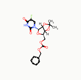 CC1(C)O[C@@H]2[C@H](O1)[C@@H](COC(=O)OCc1ccccc1)O[C@H]2n1cc(F)c(=O)[nH]c1=O